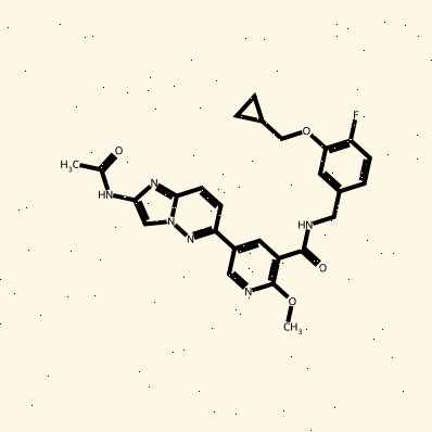 COc1ncc(-c2ccc3nc(NC(C)=O)cn3n2)cc1C(=O)NCc1ccc(F)c(OCC2CC2)c1